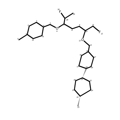 CC1CCC(COC(CCC(CF)OCC2CCC([C@H]3CC[C@@H](C)CC3)CC2)C(C)F)CC1